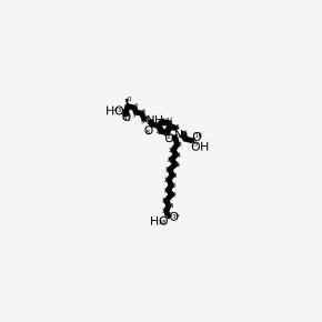 C[C@@H](CCCCNC(=O)c1ccc(CN(CCC(=O)O)C(=O)CCCCCCCCCCCCCCC(=O)O)cc1)C(=O)O